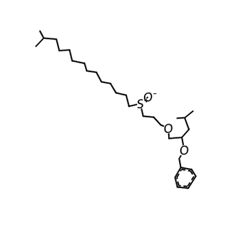 CC(C)CCCCCCCCCCCC[S+]([O-])CCCOCC(CC(C)C)OCc1ccccc1